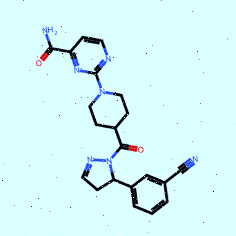 N#Cc1cccc(C2CC=NN2C(=O)C2CCN(c3nccc(C(N)=O)n3)CC2)c1